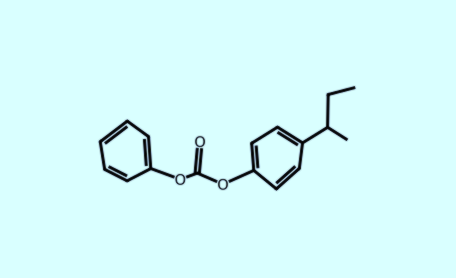 CCC(C)c1ccc(OC(=O)Oc2ccccc2)cc1